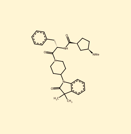 CN[C@@H]1CC[C@H](C(=O)N[C@@H](Cc2ccccc2)C(=O)N2CCC(N3C(=O)C(C)(C)c4ccccc43)CC2)C1